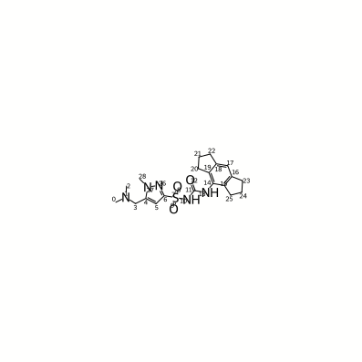 CN(C)Cc1cc(S(=O)(=O)NC(=O)Nc2c3c(cc4c2CCC4)CCC3)nn1C